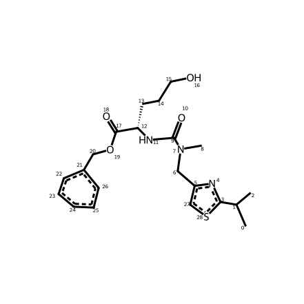 CC(C)c1nc(CN(C)C(=O)N[C@@H](CCCO)C(=O)OCc2ccccc2)cs1